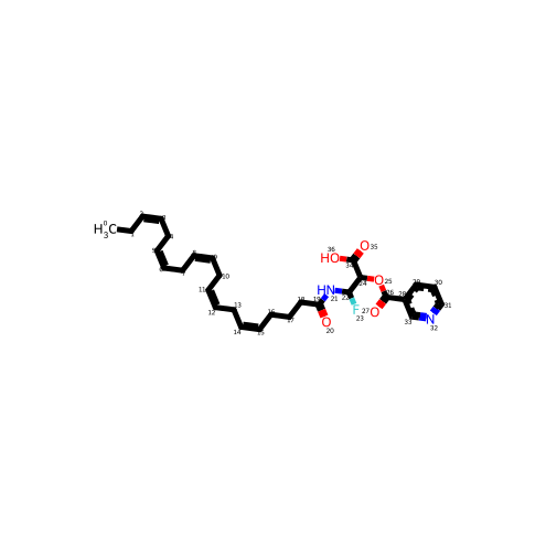 CC/C=C\C/C=C\C/C=C\C/C=C\C/C=C\CCCC(=O)NC(F)C(OC(=O)c1cccnc1)C(=O)O